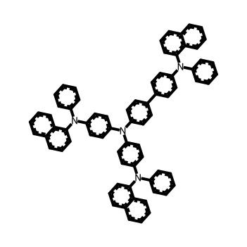 c1ccc(N(c2ccc(-c3ccc(N(c4ccc(N(c5ccccc5)c5cccc6ccccc56)cc4)c4ccc(N(c5ccccc5)c5cccc6ccccc56)cc4)cc3)cc2)c2cccc3ccccc23)cc1